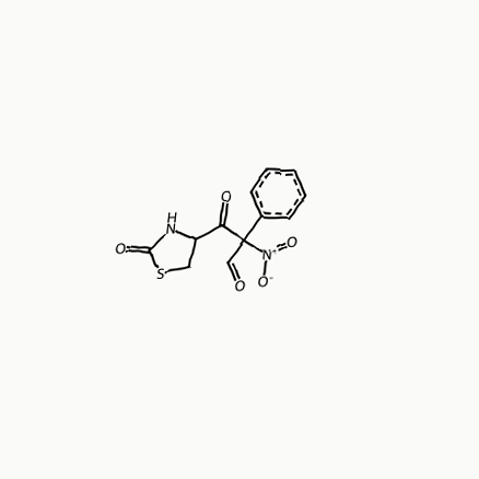 O=CC(C(=O)C1CSC(=O)N1)(c1ccccc1)[N+](=O)[O-]